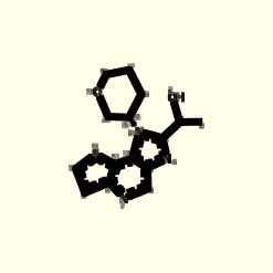 CC(O)c1nc2cnc3ccsc3c2n1[C@H]1CCCOC1